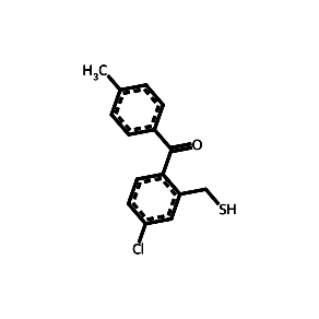 Cc1ccc(C(=O)c2ccc(Cl)cc2CS)cc1